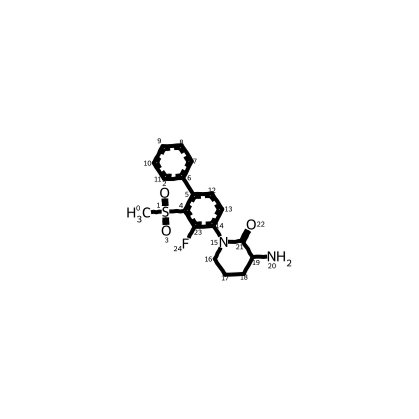 CS(=O)(=O)c1c(-c2ccccc2)ccc(N2CCCC(N)C2=O)c1F